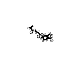 C=C(C)C(=O)OCCC(=O)OC1(C)CC2CC1C1COC(=O)C21